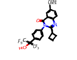 COc1ccc2nc(C3CCC3)n(-c3ccc(C(O)(C(F)(F)F)C(F)(F)F)cc3)c(=O)c2c1